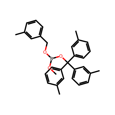 COB(OCc1cccc(C)c1)OC(c1cccc(C)c1)(c1cccc(C)c1)c1cccc(C)c1